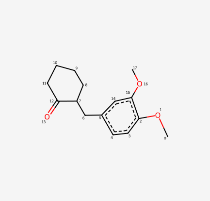 COc1ccc(CC2CCCCC2=O)cc1OC